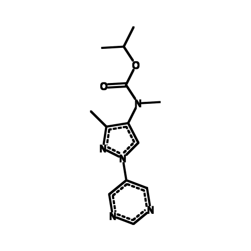 Cc1nn(-c2cncnc2)cc1N(C)C(=O)OC(C)C